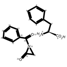 N[C@@H](Cc1ccccc1)C(=O)O.O=C1CN1C(=O)c1ccccc1